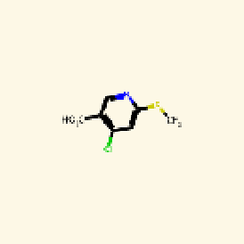 O=C(O)c1cnc(SC(F)(F)F)cc1Cl